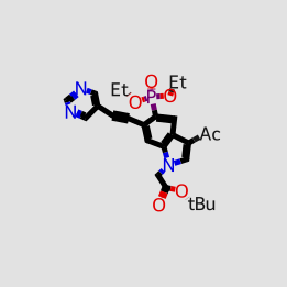 CCOP(=O)(OCC)c1cc2c(C(C)=O)cn(CC(=O)OC(C)(C)C)c2cc1C#Cc1cncnc1